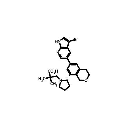 CC(C)(CN1CCC[C@H]1c1cc(-c2cnc3[nH]cc(Br)c3c2)cc2c1COCC2)C(=O)O